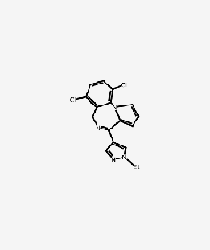 CCn1cc(C2=NCc3c(Cl)ccc(Cl)c3-n3cccc32)cn1